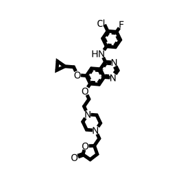 O=C1CCC(CN2CCN(CCOc3cc4ncnc(Nc5ccc(F)c(Cl)c5)c4cc3OCC3CC3)CC2)O1